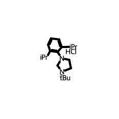 CC(C)c1cccc(C(C)C)c1N1CCN(C(C)(C)C)C1.Cl